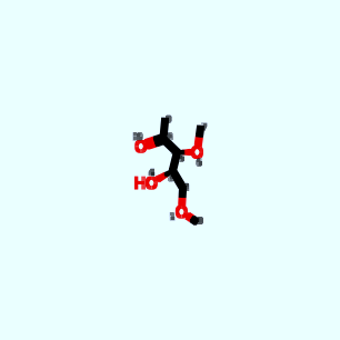 COC[C@@H](O)[C@H](OC)C(C)=O